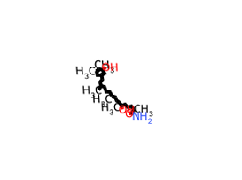 CC1=C(C)C(O)C=C(CCC(C)CCC/C(C)=C/CCC(C)(O)CCCC(C)C(N)=O)C1